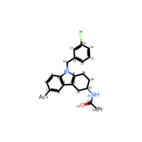 CC(=O)c1ccc2c(c1)c1c(n2Cc2cccc(F)c2)CC[C@@H](NC(=O)C(C)C)C1